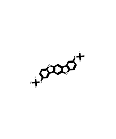 FC(F)(F)Oc1ccc2oc3cc4c(cc3c2c1)oc1ccc(OC(F)(F)F)cc14